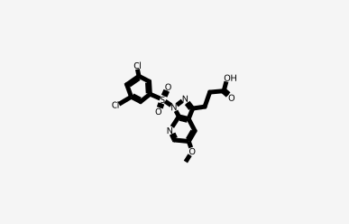 COc1cnc2c(c1)c(CCC(=O)O)nn2S(=O)(=O)c1cc(Cl)cc(Cl)c1